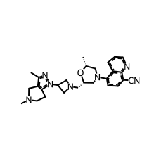 Cc1nn(C2CN(C[C@H]3CN(c4ccc(C#N)c5ncccc45)C[C@@H](C)O3)C2)c2c1CN(C)CC2